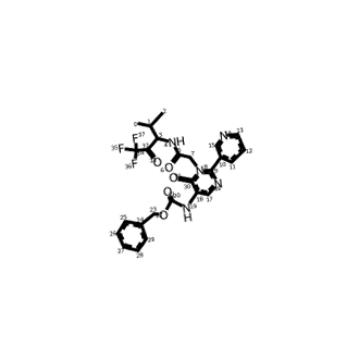 CC(C)C(NC(=O)Cn1c(-c2cccnc2)ncc(NC(=O)OCc2ccccc2)c1=O)C(=O)C(F)(F)F